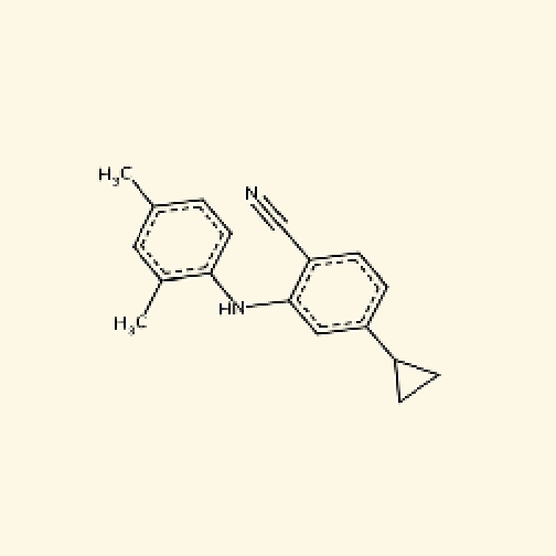 Cc1ccc(Nc2cc(C3CC3)ccc2C#N)c(C)c1